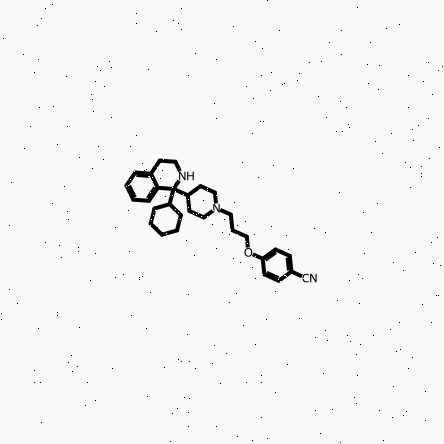 N#Cc1ccc(OCCCN2CCC(C3(C4CCCCC4)NCCc4ccccc43)CC2)cc1